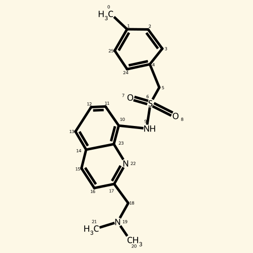 Cc1ccc(CS(=O)(=O)Nc2cccc3ccc(CN(C)C)nc23)cc1